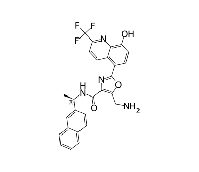 C[C@@H](NC(=O)c1nc(-c2ccc(O)c3nc(C(F)(F)F)ccc23)oc1CN)c1ccc2ccccc2c1